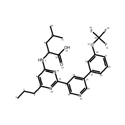 CCCc1cc(NC(CC(C)C)C(=O)O)nc(-c2cncc(-c3cccc(OC(F)(F)F)c3)c2)n1